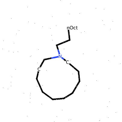 CCCCCCCCCCN1CCCCCCCCCC1